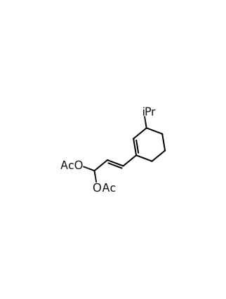 CC(=O)OC(C=CC1=CC(C(C)C)CCC1)OC(C)=O